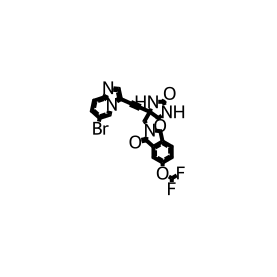 O=C1NC(=O)C(C#Cc2cnc3ccc(Br)cn23)(CN2Cc3ccc(OC(F)F)cc3C2=O)N1